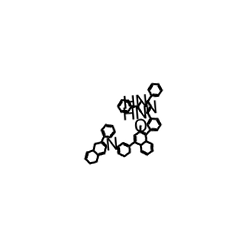 C1=CC2C(C3=CC(n4c5c(c6ccccc64)CC4C=CCCC4=C5)=CCC3)=Cc3oc4c(C5=NC(c6ccccc6)NC(c6ccccc6)N5)cccc4c3C2C=C1